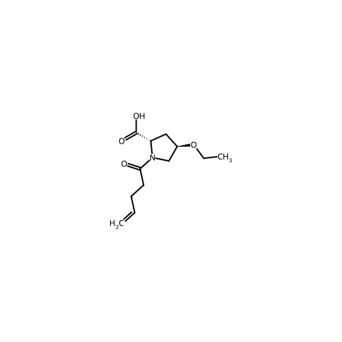 C=CCCC(=O)N1C[C@H](OCC)C[C@H]1C(=O)O